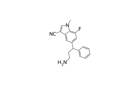 Cn1cc(C#N)c2cc(C(CCN)c3ccccc3)cc(F)c21